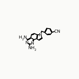 N#Cc1ccc(Cn2ccc3c4nc(N)nc(N)c4ccc32)cc1